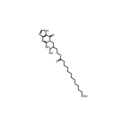 CCCCCCCCCCCCCCCCCCCCCC(=O)OCCC(CO)Cn1c(N)nc2nc[nH]c2c1=O